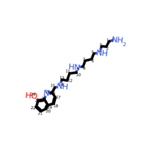 NCCCNCCCCNCCCCNCc1ccc2cccc(O)c2n1